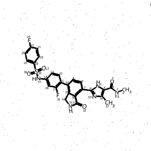 CNC(=O)c1[nH]c(-c2ccc(-c3ccc(NS(=O)(=O)c4ccc(F)cc4)cc3F)c3c2C(=O)NC3)nc1C